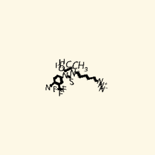 CC1(C)C(O)N(c2ccc(C#N)c(C(F)(F)F)c2)C(=S)N1CCCCCCN=[N+]=[N-]